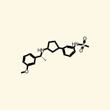 COc1cccc([C@@H](C)NC2CCC(c3cccc(NS(C)(=O)=O)c3)C2)c1